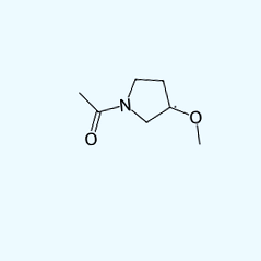 CO[C]1CCN(C(C)=O)C1